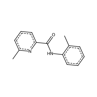 Cc1cccc(C(=O)Nc2ccccc2C)n1